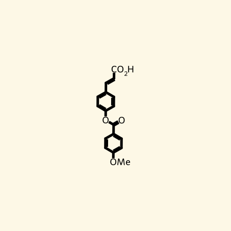 COc1ccc(C(=O)Oc2ccc(C=CC(=O)O)cc2)cc1